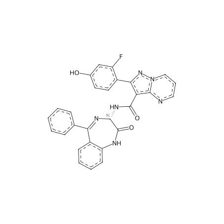 O=C(N[C@H]1N=C(c2ccccc2)c2ccccc2NC1=O)c1c(-c2ccc(O)cc2F)nn2cccnc12